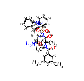 Cc1cc(C)cc(C(=O)N(C)C(C)(C)C(=O)N([C@@H](Cc2c[nH]c3ccccc23)C(N)=O)S(=O)(=O)c2ccccc2)c1